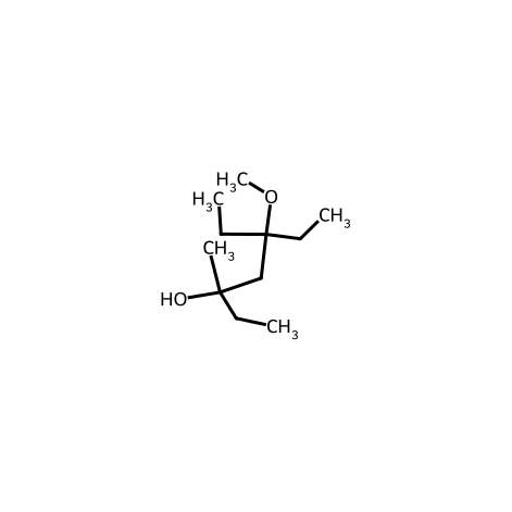 CCC(C)(O)CC(CC)(CC)OC